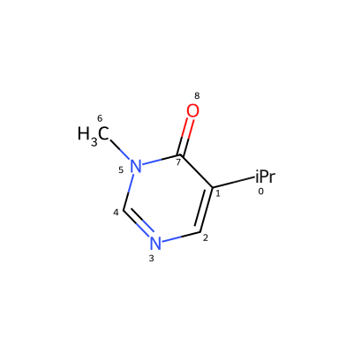 CC(C)c1cncn(C)c1=O